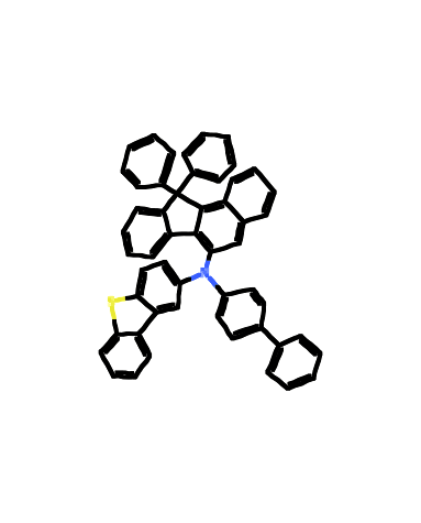 c1ccc(-c2ccc(N(c3ccc4sc5ccccc5c4c3)c3cc4ccccc4c4c3-c3ccccc3C4(c3ccccc3)c3ccccc3)cc2)cc1